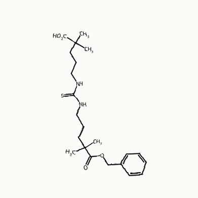 CC(C)(CCCNC(=S)NCCCC(C)(C)C(=O)OCc1ccccc1)C(=O)O